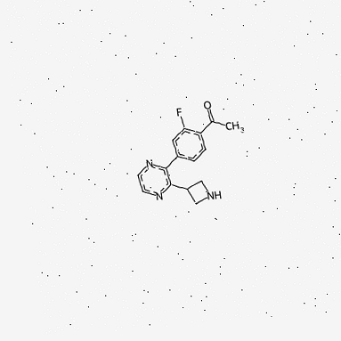 CC(=O)c1ccc(-c2nccnc2C2CNC2)cc1F